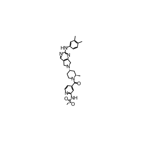 Cc1ccc(Nc2ncc3c(n2)CN([C@H]2CCN(C(=O)c4ccnc(NS(C)(=O)=O)c4)[C@H](C)C2)C3)cc1C